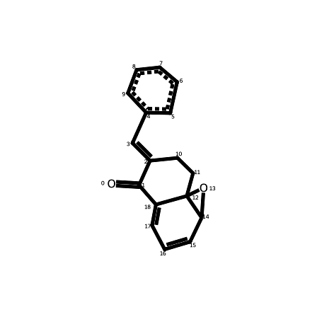 O=C1C(=Cc2ccccc2)CCC23OC2C=CC=C13